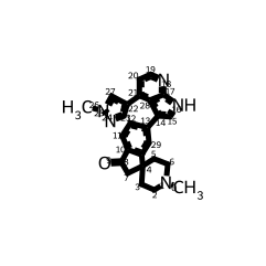 CN1CCC2(CC1)CC(=O)c1ccc(-c3c[nH]c4nccc(-c5cnn(C)c5)c34)cc12